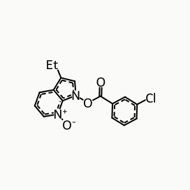 CCc1cn(OC(=O)c2cccc(Cl)c2)c2c1ccc[n+]2[O-]